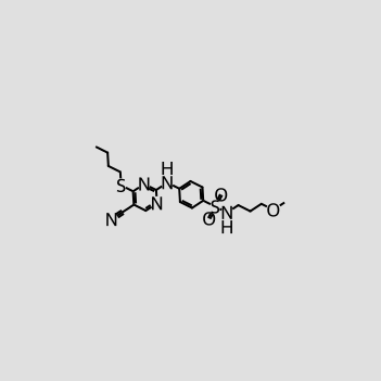 CCCCSc1nc(Nc2ccc(S(=O)(=O)NCCCOC)cc2)ncc1C#N